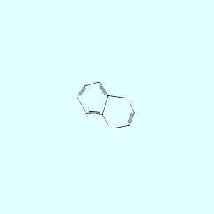 [C]1=[C]Sc2ccccc2S1